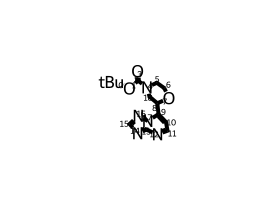 CC(C)(C)OC(=O)N1CCOC(c2ccnc3ncnn23)C1